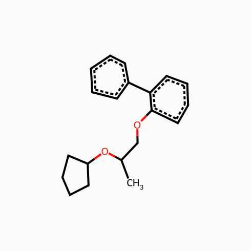 CC(COc1ccccc1-c1ccccc1)OC1CCCC1